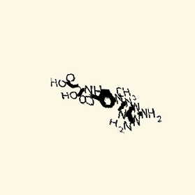 CN(c1ccc(C(=O)N[C@@H](CCC(=O)O)C(=O)O)cc1)c1cnc2c(N)nc(N)nc2n1